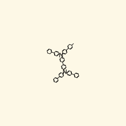 CC1C=CC(c2ccc(N(c3ccc(C4=CC=CCC4)cc3)c3ccc(-c4ccc(N(c5ccc(-c6ccccc6)cc5)c5ccc(-c6ccccc6)cc5)cc4)cc3)cc2)=CC1